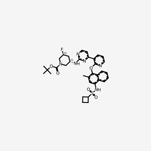 Cc1cc(NS(=O)(=O)C2CCC2)c2ccccc2c1Oc1ncccc1-c1ccnc(N[C@H]2C[C@H](F)CN(C(=O)OC(C)(C)C)C2)n1